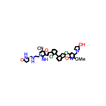 COc1nc(O[C@H]2CCc3c(-c4cccc(-c5cc6c(=N)n(CCNC[C@@H]7CCC(=O)N7)cc(C#N)c6o5)c4Cl)cccc32)c(Cl)cc1CN1CC[C@@H](O)C1